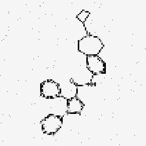 O=C(Nc1ccc2c(c1)CCN(C1CCC1)CC2)c1cnn(-c2ccccc2)c1-c1ccccc1